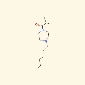 CCCCCCN1CCN(C(=O)C(C)C)CC1